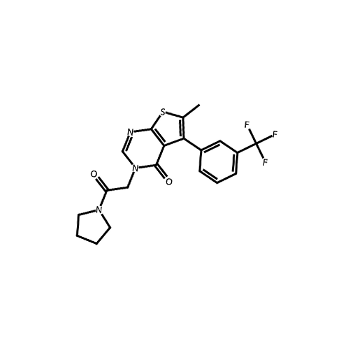 Cc1sc2ncn(CC(=O)N3CCCC3)c(=O)c2c1-c1cccc(C(F)(F)F)c1